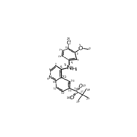 COc1cc(Nc2ccnc3ccc(S(=O)(=O)C(C)(C)C)cc23)ccc1Cl